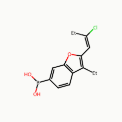 CC/C(Cl)=C\c1oc2cc(B(O)O)ccc2c1CC